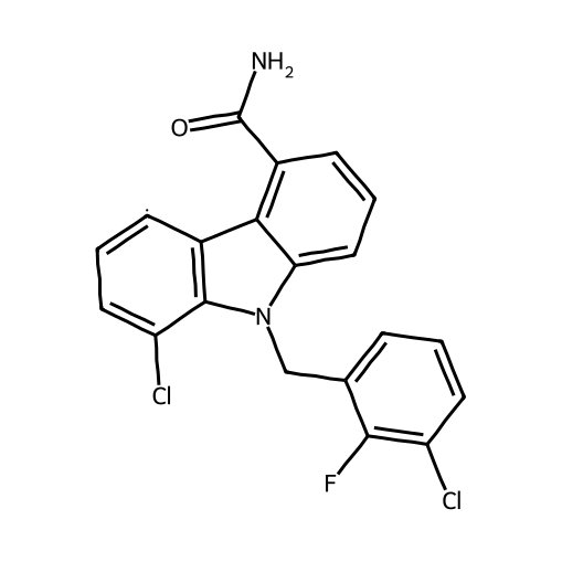 NC(=O)c1cccc2c1c1[c]ccc(Cl)c1n2Cc1cccc(Cl)c1F